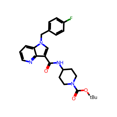 CC(C)(C)OC(=O)N1CCC(NC(=O)c2cn(Cc3ccc(F)cc3)c3cccnc23)CC1